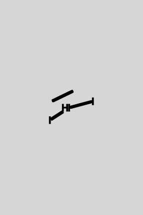 CC.I[IH]I